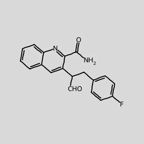 NC(=O)c1nc2ccccc2cc1C(C=O)Cc1ccc(F)cc1